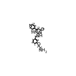 NCCOc1cccc(CNc2nc(=O)cc(-c3ccncc3)[nH]2)c1